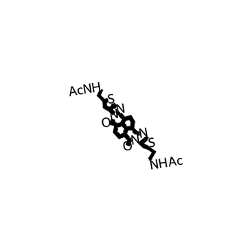 CC(=O)NCCc1cc2c(nc3c4ccc5c6c(ccc(c(=O)n23)c46)c(=O)n2c3cc(CCNC(C)=O)sc3nc52)s1